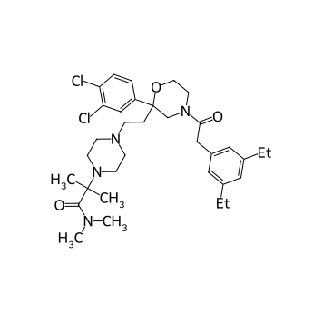 CCc1cc(CC)cc(CC(=O)N2CCOC(CCN3CCN(C(C)(C)C(=O)N(C)C)CC3)(c3ccc(Cl)c(Cl)c3)C2)c1